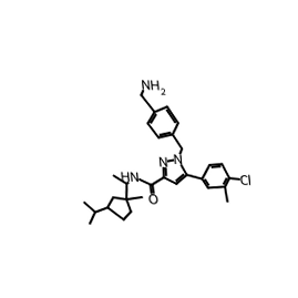 Cc1cc(-c2cc(C(=O)NC(C)C3(C)CCC(C(C)C)C3)nn2Cc2ccc(CN)cc2)ccc1Cl